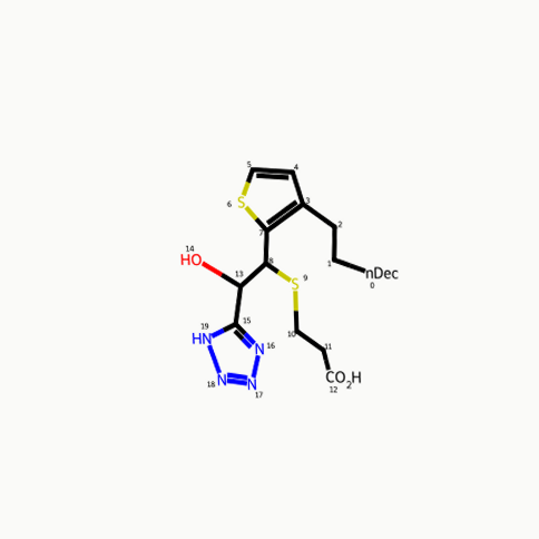 CCCCCCCCCCCCc1ccsc1C(SCCC(=O)O)C(O)c1nnn[nH]1